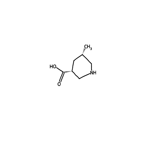 C[C@@H]1CNC[C@H](C(=O)O)C1